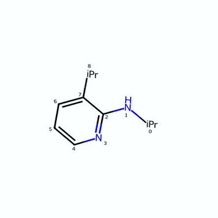 CC(C)Nc1ncccc1C(C)C